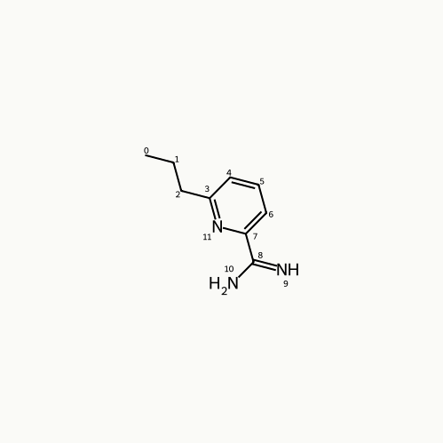 CCCc1cccc(C(=N)N)n1